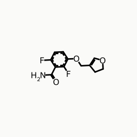 NC(=O)c1c(F)ccc(OCC2=COCC2)c1F